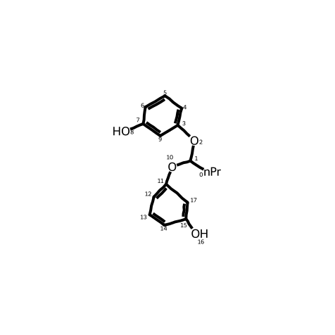 CCCC(Oc1cccc(O)c1)Oc1cccc(O)c1